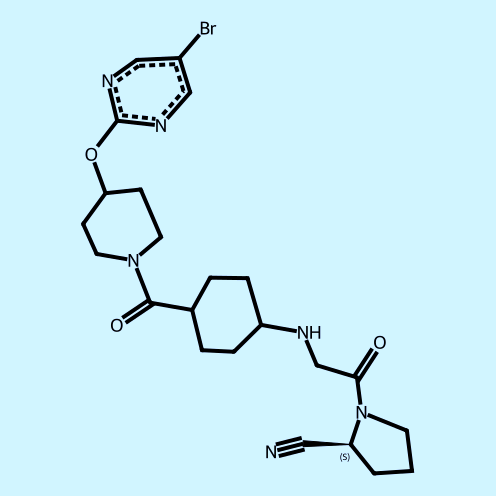 N#C[C@@H]1CCCN1C(=O)CNC1CCC(C(=O)N2CCC(Oc3ncc(Br)cn3)CC2)CC1